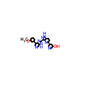 COc1cccc(-c2cncc3[nH]c(-c4n[nH]c5ccc(-c6cncc(O)c6)nc45)nc23)c1